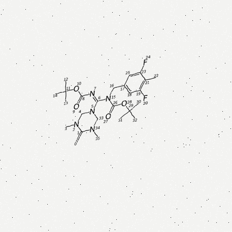 C=C1N(C)CN(/C(=N\C(=O)OC(C)(C)C)N(Cc2cc(F)c(C)c(F)c2)C(=O)OC(C)(C)C)CN1C